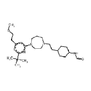 COCCc1cc(N2CCCN(CCC3CCC(NC=O)CC3)CC2)nc(C(C)(C)C)n1